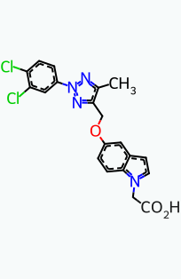 Cc1nn(-c2ccc(Cl)c(Cl)c2)nc1COc1ccc2c(ccn2CC(=O)O)c1